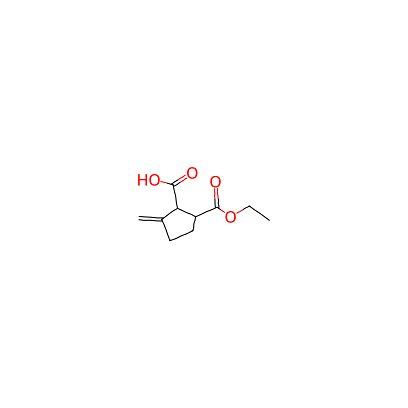 C=C1CCC(C(=O)OCC)C1C(=O)O